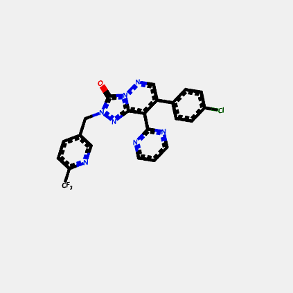 O=c1n(Cc2ccc(C(F)(F)F)nc2)nc2c(-c3ncccn3)c(-c3ccc(Cl)cc3)cnn12